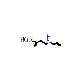 C=CCNCCC(=C)C(=O)O